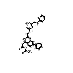 CC(CNc1ccccn1)OC(=O)NCC(=O)NC(CC(=O)OC(=O)C(F)(F)F)c1ccc(-c2ccccc2)cc1